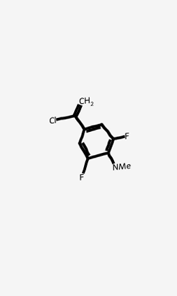 C=C(Cl)c1cc(F)c(NC)c(F)c1